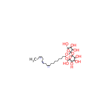 CC/C=C\C/C=C\C/C=C\CCCCCCCC(=O)OC[C@@]1(O[C@H]2O[C@H](CO)[C@@H](O)[C@H](O)[C@H]2O)O[C@H](CO)[C@@H](O)[C@@H]1O